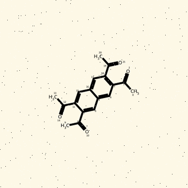 CC(=O)c1cc2cc(C(C)=O)c(C(C)=O)cc2cc1C(C)=O